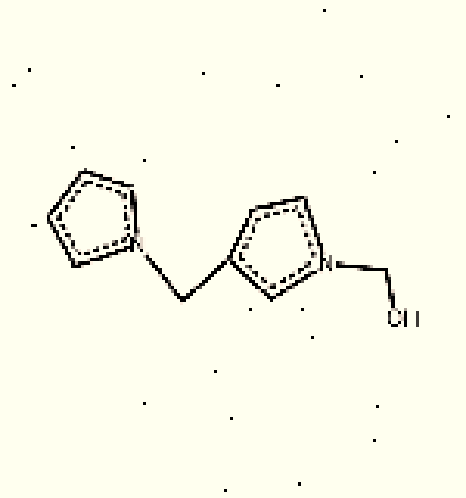 OCn1ccc(Cn2cccc2)c1